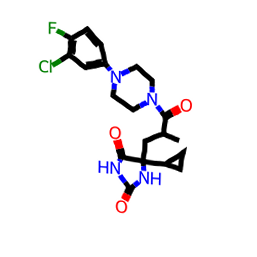 CC(CC1(C2CC2)NC(=O)NC1=O)C(=O)N1CCN(c2ccc(F)c(Cl)c2)CC1